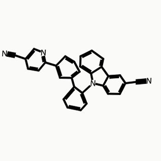 N#Cc1ccc(-c2cccc(-c3ccccc3-n3c4ccccc4c4cc(C#N)ccc43)c2)nc1